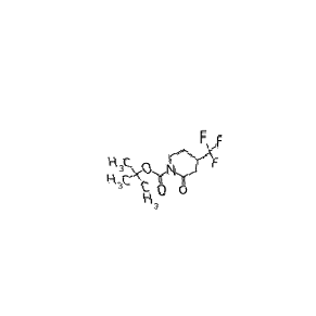 CC(C)(C)OC(=O)N1CCC(C(F)(F)F)CC1=O